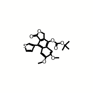 COc1cc2c(OC(=O)OC(C)(C)C)c3c(c(-c4ccsc4)c2cc1OC)C(=O)OC3